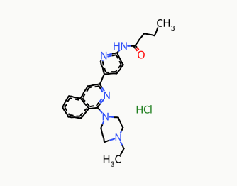 CCCC(=O)Nc1ccc(-c2cc3ccccc3c(N3CCN(CC)CC3)n2)cn1.Cl